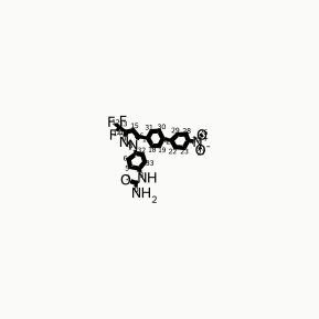 NC(=O)Nc1ccc(-n2nc(C(F)(F)F)cc2-c2ccc(-c3ccc([N+](=O)[O-])cc3)cc2)cc1